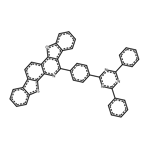 c1ccc(-c2nc(-c3ccccc3)nc(-c3ccc(-c4nc5c(ccc6c7ccccc7sc65)c5oc6ccccc6c45)cc3)n2)cc1